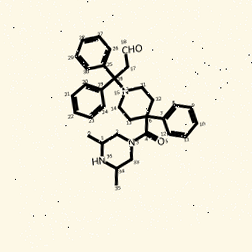 CC1CN(C(=O)C2(c3ccccc3)CCN(C(CC=O)(c3ccccc3)c3ccccc3)CC2)CC(C)N1